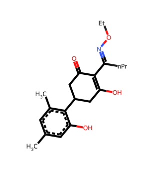 CCCC(=NOCC)C1=C(O)CC(c2c(C)cc(C)cc2O)CC1=O